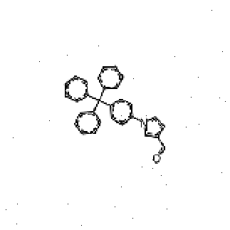 O=Cc1ccn(-c2ccc(C(c3ccccc3)(c3ccccc3)c3ccccc3)cc2)c1